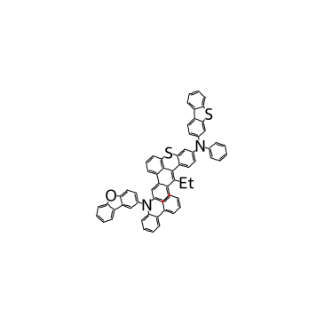 CCc1c2c3c(cccc3c3cc(N(c4ccc5oc6ccccc6c5c4)c4ccccc4-c4ccccc4)ccc13)Sc1cc(N(c3ccccc3)c3ccc4c(c3)sc3ccccc34)ccc1-2